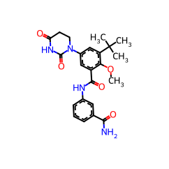 COc1c(C(=O)Nc2cccc(C(N)=O)c2)cc(N2CCC(=O)NC2=O)cc1C(C)(C)C